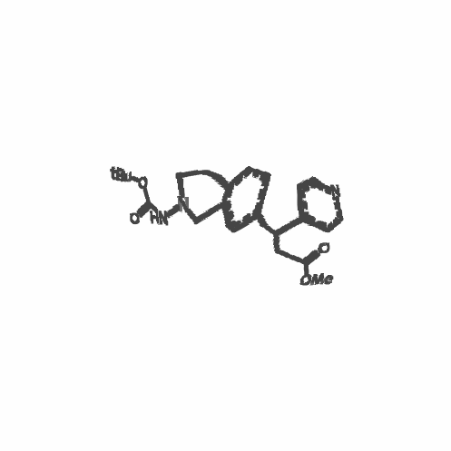 COC(=O)CC(c1ccncc1)c1ccc2c(c1)CN(NC(=O)OC(C)(C)C)CC2